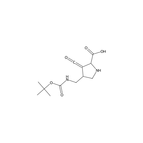 CC(C)(C)OC(=O)NCC1CNC(C(=O)O)C1=C=O